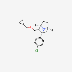 CN1[C@H]2CC[C@@H]1[C@H](COCC1CC1)[C@@H](c1ccc(Cl)cc1)C2